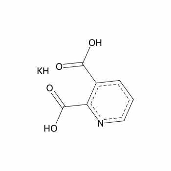 O=C(O)c1cccnc1C(=O)O.[KH]